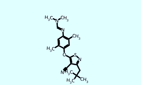 Cc1cc(Oc2snc(CC(C)(C)C)c2C#N)c(C)cc1N=CN(C)C